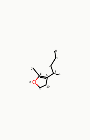 CCC[C@@H](C)C1=C(C)OCC1